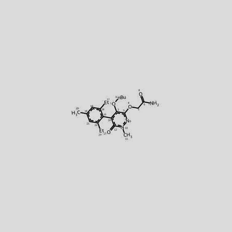 CCCCOc1c(OCC(N)=O)nn(C)c(=O)c1-c1c(CC)cc(C)cc1CC